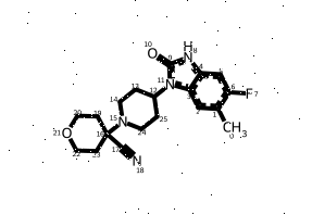 Cc1cc2c(cc1F)[nH]c(=O)n2C1CCN(C2(C#N)CCOCC2)CC1